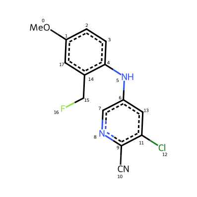 COc1ccc(Nc2cnc(C#N)c(Cl)c2)c(CF)c1